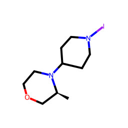 C[C@H]1COCCN1C1CCN(I)CC1